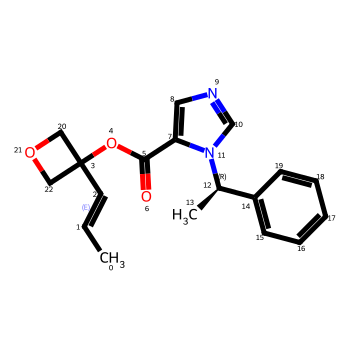 C/C=C/C1(OC(=O)c2cncn2[C@H](C)c2ccccc2)COC1